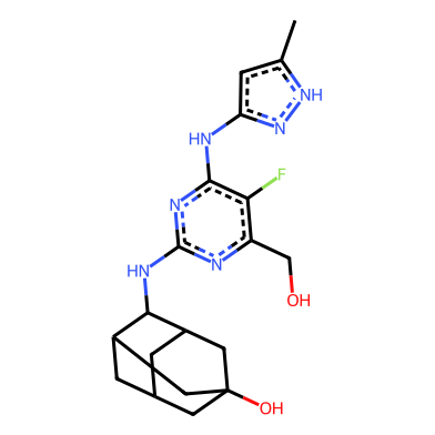 Cc1cc(Nc2nc(NC3C4CC5CC3CC(O)(C5)C4)nc(CO)c2F)n[nH]1